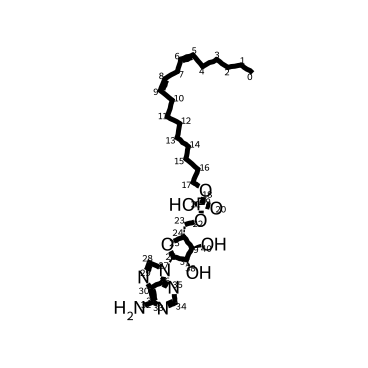 CCCCC/C=C\C/C=C\CCCCCCCCOP(=O)(O)OC[C@H]1O[C@@H](n2cnc3c(N)ncnc32)[C@@H](O)[C@@H]1O